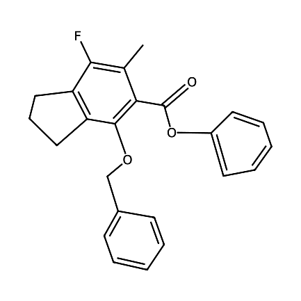 Cc1c(F)c2c(c(OCc3ccccc3)c1C(=O)Oc1ccccc1)CCC2